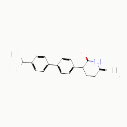 C=C1CCC(c2ccc(-c3ccc(C(C)C)cc3)cc2)C(=O)N1